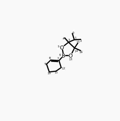 CC(C)C1(C)OB(C2=CCCCC2)OC1(C)C